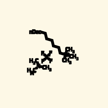 CCCCCCCCCCCCCCCC[N+](C)(C)C.CN(C)C.F[B-](F)(F)F.[H+]